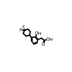 O=C(O)Cc1cccc(C2CCC(F)(F)CC2)c1O